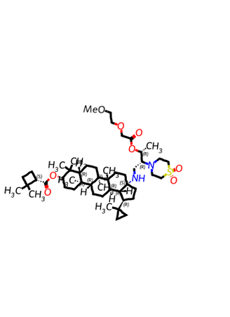 COCCOCC(=O)O[C@H](C)[C@@H](CN[C@]12CC[C@@H](C3(C)CC3)[C@@H]1[C@H]1CC[C@@H]3[C@@]4(C)CC[C@H](OC(=O)[C@H]5CCC5(C)C)C(C)(C)[C@@H]4CC[C@@]3(C)[C@]1(C)CC2)N1CCS(=O)(=O)CC1